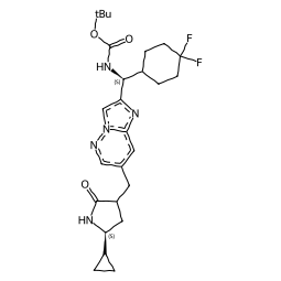 CC(C)(C)OC(=O)N[C@H](c1cn2ncc(CC3C[C@@H](C4CC4)NC3=O)cc2n1)C1CCC(F)(F)CC1